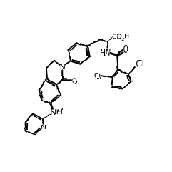 O=C(N[C@@H](Cc1ccc(N2CCc3ccc(Nc4ccccn4)cc3C2=O)cc1)C(=O)O)c1c(Cl)cccc1Cl